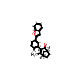 CCc1ccc(-c2cc3ccccc3o2)cc1C1=C(C)[C@H]2CC[C@H](C2)C1=O